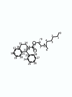 CCCCCN(C)C[C@@H](C)OC(=O)N1CCc2ccccc2C1c1ccccc1